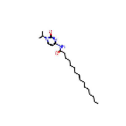 CCCCCCCCCCCCCCCC(=O)Nc1ccn(C(C)C)c(=O)n1